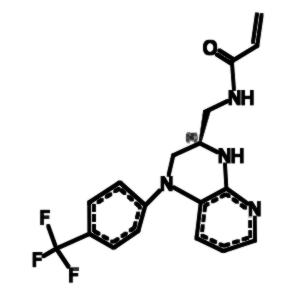 C=CC(=O)NC[C@@H]1CN(c2ccc(C(F)(F)F)cc2)c2cccnc2N1